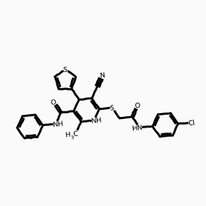 CC1=C(C(=O)Nc2ccccc2)C(c2ccsc2)C(C#N)=C(SCC(=O)Nc2ccc(Cl)cc2)N1